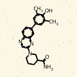 Cc1cc(-c2ccc3ncc(N4CCCC(C(N)=O)C4)nc3c2)cc(C)c1O